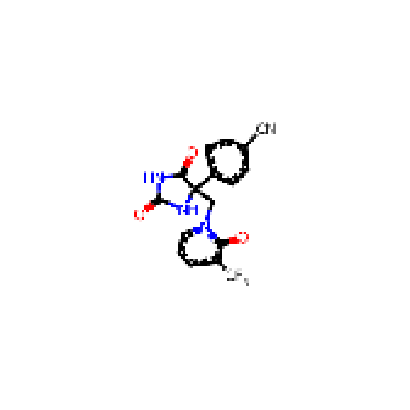 N#Cc1ccc(C2(Cn3cccc(C(F)(F)F)c3=O)NC(=O)NC2=O)cc1